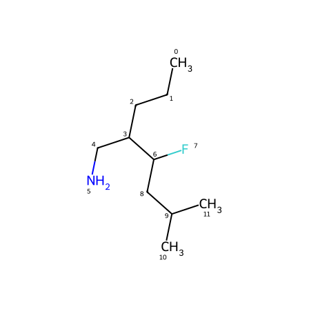 CCCC(CN)C(F)CC(C)C